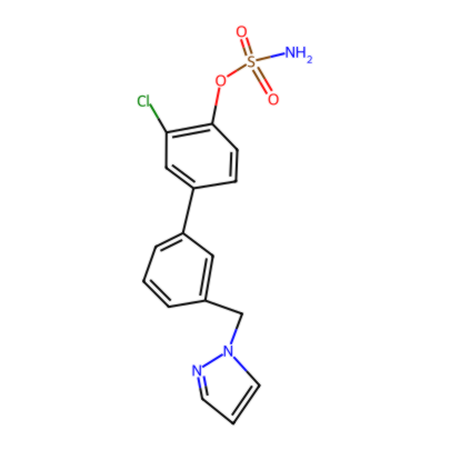 NS(=O)(=O)Oc1ccc(-c2cccc(Cn3cccn3)c2)cc1Cl